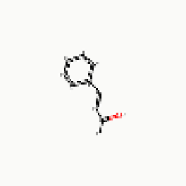 CC(=O)/C=C/c1cc[c]cc1